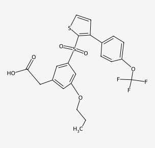 CCCOc1cc(CC(=O)O)cc(S(=O)(=O)c2sccc2-c2ccc(OC(F)(F)F)cc2)c1